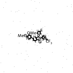 COc1cc(-c2ccc3c(n2)C(N2CC[C@@H](F)C2)N(c2cnn(CC(F)(F)F)c2)C3=O)cnc1OC